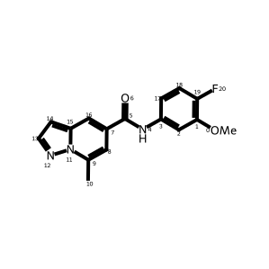 COc1cc(NC(=O)c2cc(C)n3nccc3c2)ccc1F